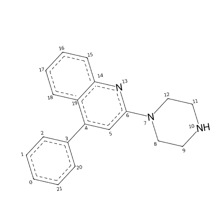 c1ccc(-c2cc(N3CCNCC3)nc3ccccc23)cc1